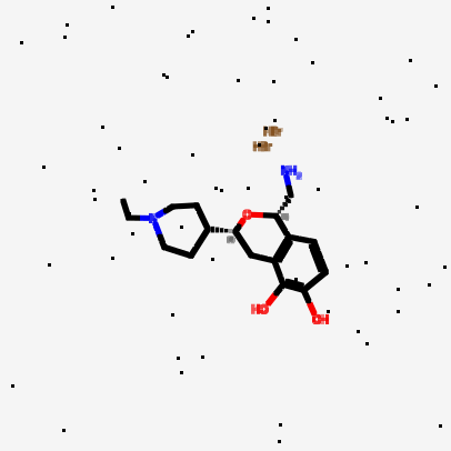 Br.Br.CCN1CCC([C@H]2Cc3c(ccc(O)c3O)[C@@H](CN)O2)CC1